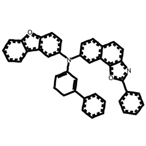 C1=C(c2ccccc2)CCC=C1N(c1ccc2oc3ccccc3c2c1)c1ccc2ccc3nc(-c4ccccc4)oc3c2c1